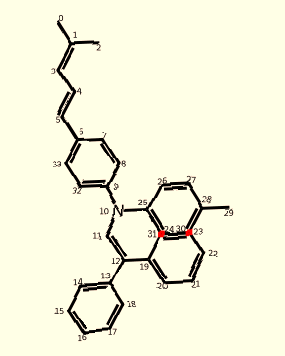 CC(C)=CC=Cc1ccc(N(C=C(c2ccccc2)c2ccccc2)c2ccc(C)cc2)cc1